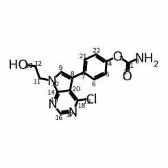 NC(=O)Oc1ccc(-c2cn(CCO)c3ncnc(Cl)c23)cc1